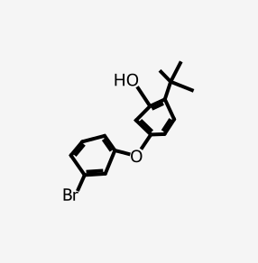 CC(C)(C)c1ccc(Oc2cccc(Br)c2)cc1O